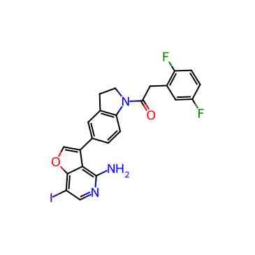 Nc1ncc(I)c2occ(-c3ccc4c(c3)CCN4C(=O)Cc3cc(F)ccc3F)c12